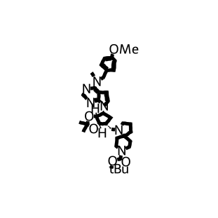 COc1ccc(CN(C)c2ncnc3c2ccn3[C@@H]2C[C@H](CN3CCCC34CCN(C(=O)OC(C)(C)C)CC4)[C@H]3OC(C)(C)O[C@H]32)cc1